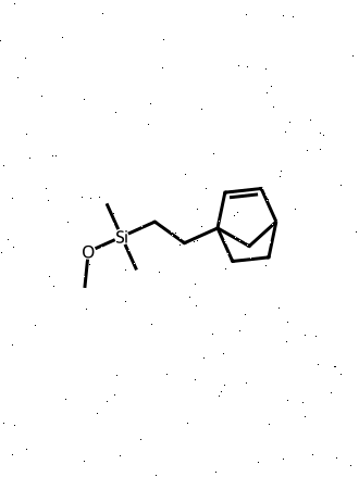 CO[Si](C)(C)CCC12C=CC(CC1)C2